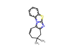 CC1(C)CC=Cc2c(nc3sc4ccccc4n23)C1